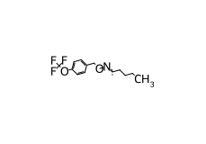 CCCC/[C]=N/OCc1ccc(OC(F)(F)F)cc1